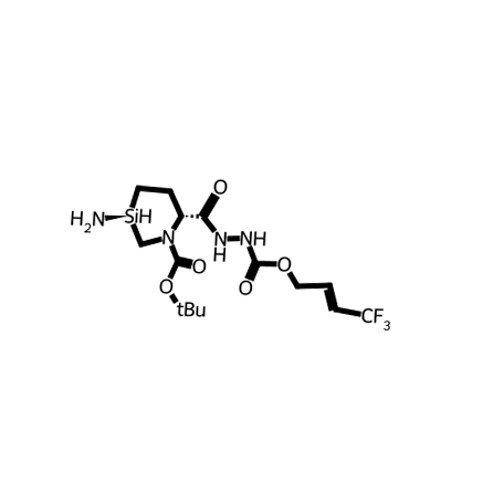 CC(C)(C)OC(=O)N1C[Si@@H](N)CC[C@@H]1C(=O)NNC(=O)OC/C=C/C(F)(F)F